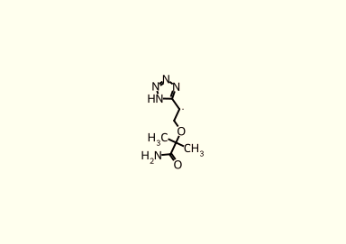 CC(C)(OC[CH]c1nnn[nH]1)C(N)=O